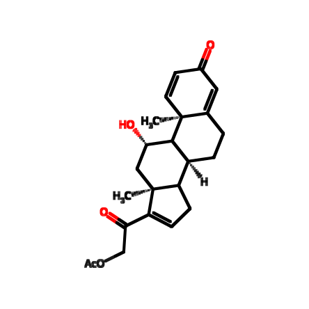 CC(=O)OCC(=O)C1=CCC2[C@@H]3CCC4=CC(=O)C=C[C@]4(C)C3[C@@H](O)C[C@]12C